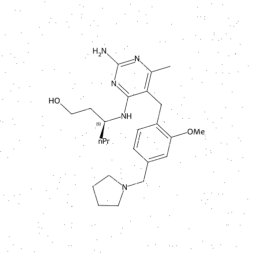 CCC[C@@H](CCO)Nc1nc(N)nc(C)c1Cc1ccc(CN2CCCC2)cc1OC